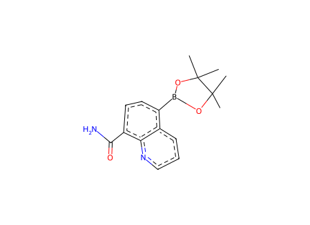 CC1(C)OB(c2ccc(C(N)=O)c3ncccc23)OC1(C)C